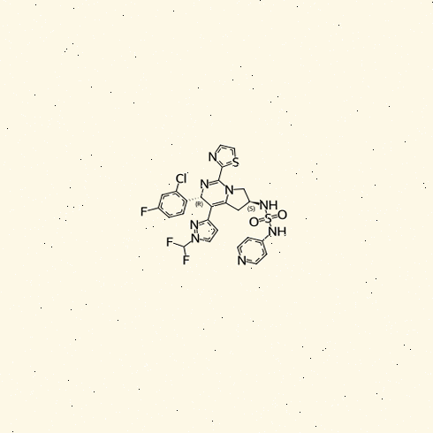 O=S(=O)(Nc1ccncc1)N[C@H]1CC2=C(c3ccn(C(F)F)n3)[C@H](c3ccc(F)cc3Cl)N=C(c3nccs3)N2C1